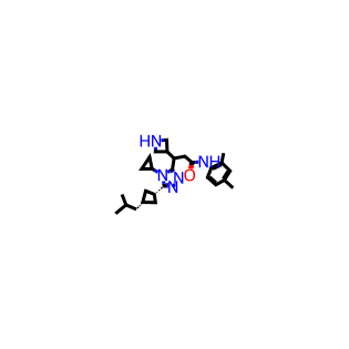 Cc1ccc(NC(=O)CC(c2nnc([C@H]3C[C@@H](CC(C)C)C3)n2C2CC2)C2CNC2)c(C)c1